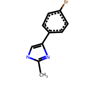 CC1=NC(c2ccc(Br)cc2)=C[N]1